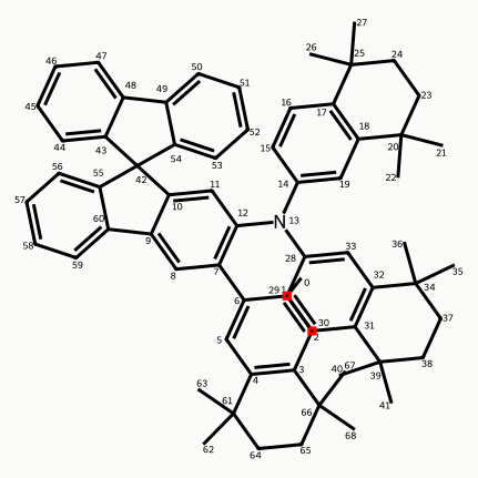 Cc1cc2c(cc1-c1cc3c(cc1N(c1ccc4c(c1)C(C)(C)CCC4(C)C)c1ccc4c(c1)C(C)(C)CCC4(C)C)C1(c4ccccc4-c4ccccc41)c1ccccc1-3)C(C)(C)CCC2(C)C